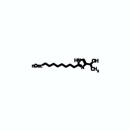 CCCCCCCCCCCCCCCCCCc1nc(C(C)O)c[nH]1